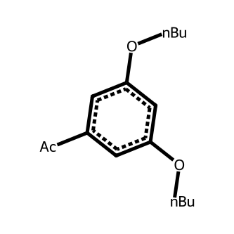 CCCCOc1cc(OCCCC)cc(C(C)=O)c1